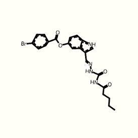 CCCCC(=O)NC(=O)N/N=C/c1c[nH]c2ccc(OC(=O)c3ccc(Br)cc3)cc12